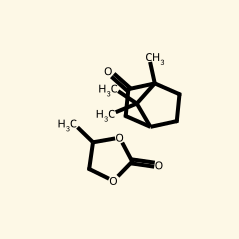 CC12CCC(CC1=O)C2(C)C.CC1COC(=O)O1